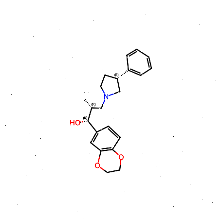 C[C@H](CN1CC[C@H](c2ccccc2)C1)[C@@H](O)c1ccc2c(c1)OCCO2